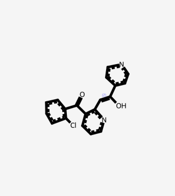 O=C(c1ccccc1Cl)c1cccnc1/C=C(\O)c1ccncc1